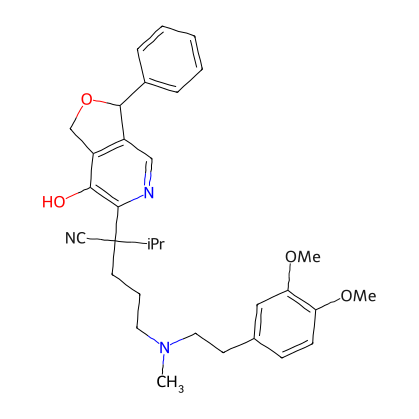 COc1ccc(CCN(C)CCCC(C#N)(c2ncc3c(c2O)COC3c2ccccc2)C(C)C)cc1OC